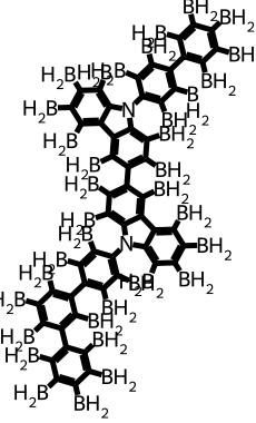 Bc1c(B)c(B)c(-c2c(B)c(B)c(-n3c4c(B)c(B)c(B)c(B)c4c4c(B)c(-c5c(B)c(B)c6c(c5B)c5c(B)c(B)c(B)c(B)c5n6-c5c(B)c(B)c(-c6c(B)c(B)c(B)c(-c7c(B)c(B)c(B)c(B)c7B)c6B)c(B)c5B)c(B)c(B)c43)c(B)c2B)c(B)c1B